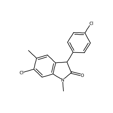 Cc1cc2c(cc1Cl)N(C)C(=O)C2c1ccc(Cl)cc1